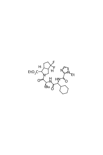 CCOC(=O)C1[C@H]2CCC(F)(F)[C@H]2CN1C(=O)[C@@H](NC(=O)[C@@H](NC(=O)c1nccn1CC)C1CCCCC1)C(C)(C)C